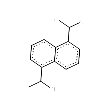 ClC(Cl)c1cccc2c(C(Cl)Cl)cccc12